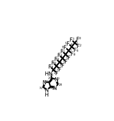 FC(F)(F)C(F)(F)C(F)(F)C(F)(F)C(F)(F)C(F)(F)C(F)(F)C(F)(F)Nc1ncnc2[nH]cnc12